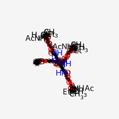 CC[C@H]1O[C@@H](OCCOCCOCC(=O)NCCCC[C@H](NC(=O)COCCOCCO[C@@H]2O[C@H](CC)[C@H](C)[C@H](C)[C@H]2NC(C)=O)C(=O)N[C@@H](CCCCNC(=O)COCCOCCO[C@@H]2O[C@H](CC)[C@H](C)[C@H](C)[C@H]2NC(C)=O)C(=O)NCCCCCCOCc2ccccc2)[C@H](NC(C)=O)[C@@H](C)[C@H]1C